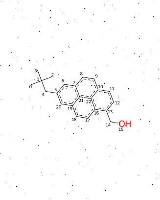 CC(C)(C)Cc1cc2ccc3ccc(CO)c4ccc(c1)c2c34